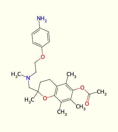 CC(=O)Oc1c(C)c(C)c2c(c1C)CCC(C)(CN(C)CCOc1ccc(N)cc1)O2